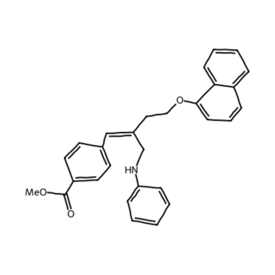 COC(=O)c1ccc(C=C(CCOc2cccc3ccccc23)CNc2ccccc2)cc1